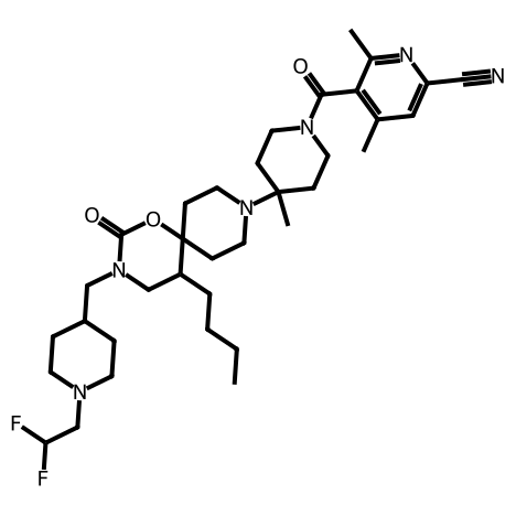 CCCCC1CN(CC2CCN(CC(F)F)CC2)C(=O)OC12CCN(C1(C)CCN(C(=O)c3c(C)cc(C#N)nc3C)CC1)CC2